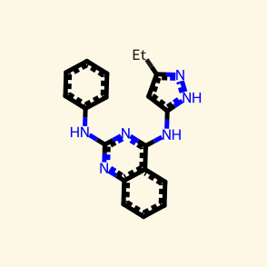 CCc1cc(Nc2nc(Nc3ccccc3)nc3ccccc23)[nH]n1